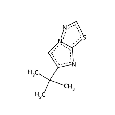 CC(C)(C)c1cn2ncsc2n1